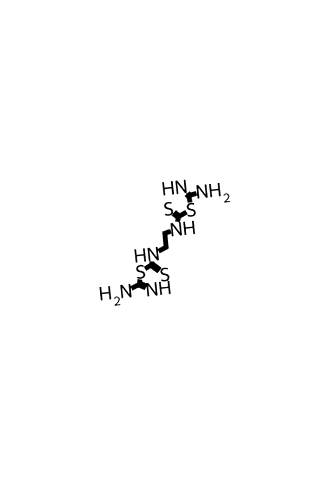 N=C(N)SC(=S)NCCNC(=S)SC(=N)N